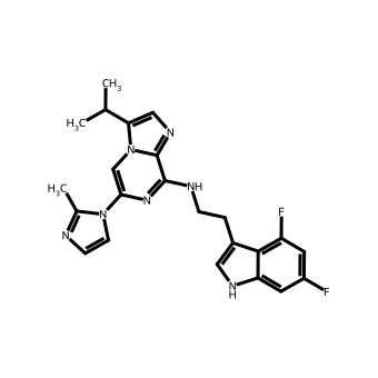 Cc1nccn1-c1cn2c(C(C)C)cnc2c(NCCc2c[nH]c3cc(F)cc(F)c23)n1